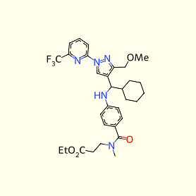 CCOC(=O)CCN(C)C(=O)c1ccc(NC(c2cn(-c3cccc(C(F)(F)F)n3)nc2COC)C2CCCCC2)cc1